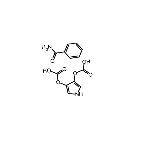 NC(=O)c1ccccc1.O=C(O)Oc1c[nH]cc1OC(=O)O